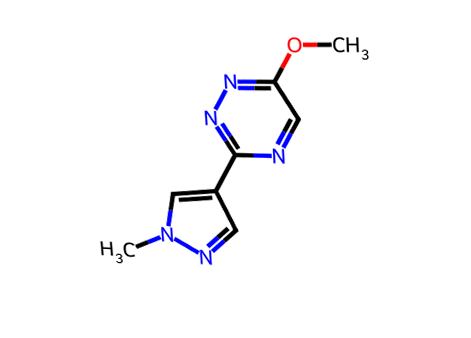 COc1cnc(-c2cnn(C)c2)nn1